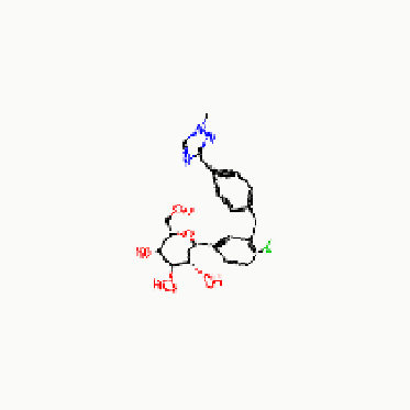 Cn1cnc(-c2ccc(Cc3cc([C@@H]4O[C@H](CO)[C@@H](O)[C@H](O)[C@H]4O)ccc3Cl)cc2)n1